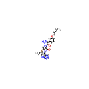 CCCCOc1cccc(C(N)C(=O)NC2C(=O)N3C(c4nnn[nH]4)C(C)(C)S[C@H]23)c1